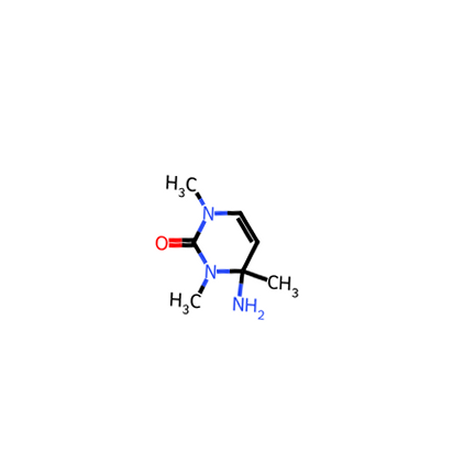 CN1C=CC(C)(N)N(C)C1=O